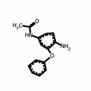 CC(=O)Nc1ccc(N)c(Oc2ccccc2)c1